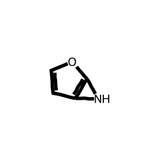 c1cc2c(o1)N2